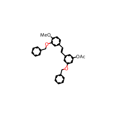 COc1ccc(C=Cc2cc(OCc3ccccc3)cc(OC(C)=O)c2)cc1OCc1ccccc1